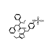 CCc1csc(C(Cc2ccc(NS(=O)(=O)O)cc2)NC(=O)C(Cc2ccccc2)C(OC)c2ccccc2)n1